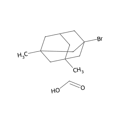 CC12CC3CC(C)(C1)CC(Br)(C3)C2.O=CO